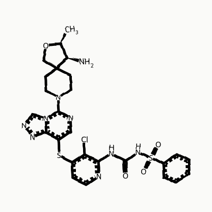 C[C@@H]1OCC2(CCN(c3ncc(Sc4ccnc(NC(=O)NS(=O)(=O)c5ccccc5)c4Cl)c4nncn34)CC2)[C@@H]1N